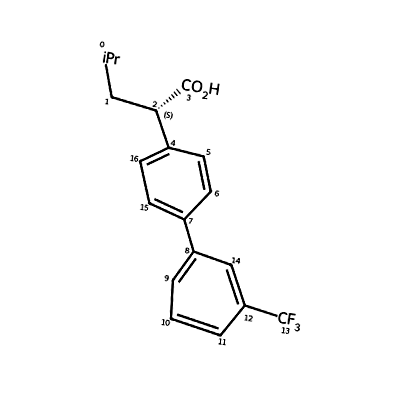 CC(C)C[C@H](C(=O)O)c1ccc(-c2cccc(C(F)(F)F)c2)cc1